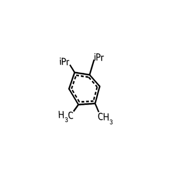 Cc1cc(C(C)C)c(C(C)C)cc1C